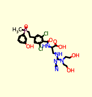 CP(=O)(CCc1cc(Cl)c(C(=O)NC(CNC(=NC#N)N(CCO)CCO)C(=O)O)c(Cl)c1)c1cccc(O)c1